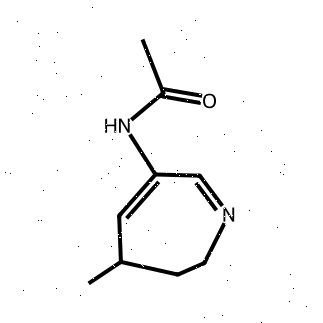 CC(=O)NC1=CC(C)CCN=C1